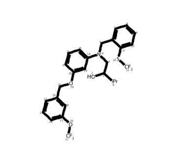 CC(C)C(O)CN(Cc1ccccc1SC(F)(F)F)c1cccc(OCc2cccc(OC(F)(F)F)c2)c1